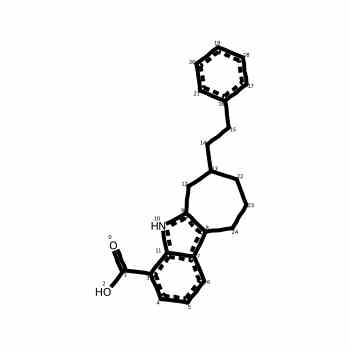 O=C(O)c1cccc2c3c([nH]c12)CC(CCc1ccccc1)CCC3